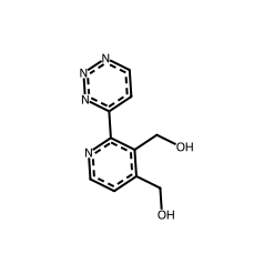 OCc1ccnc(-c2ccnnn2)c1CO